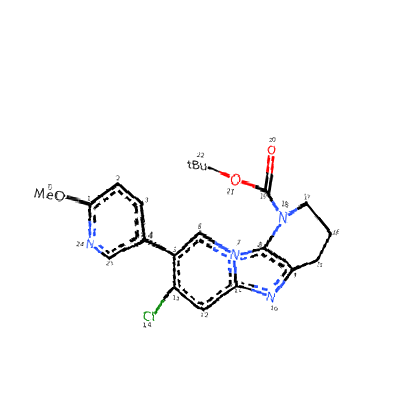 COc1ccc(-c2cn3c4c(nc3cc2Cl)CCCN4C(=O)OC(C)(C)C)cn1